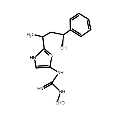 CC(C[C@H](O)c1ccccc1)c1nc(NC(=N)NC=O)c[nH]1